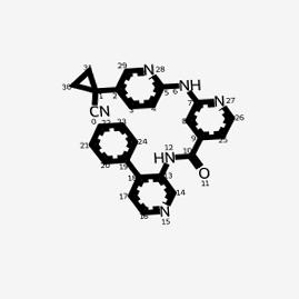 N#CC1(c2ccc(Nc3cc(C(=O)Nc4cnccc4-c4ccccc4)ccn3)nc2)CC1